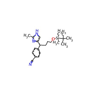 Cc1nc(C(CCCO[Si](C)(C)C(C)(C)C)c2ccc(C#N)cc2)c[nH]1